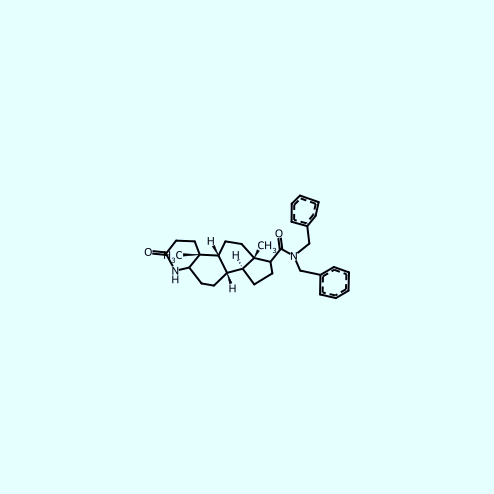 C[C@]12CCC(=O)NC1CC[C@@H]1[C@H]2CC[C@]2(C)C(C(=O)N(Cc3ccccc3)Cc3ccccc3)CC[C@@H]12